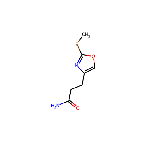 CSc1nc([CH]CC(N)=O)co1